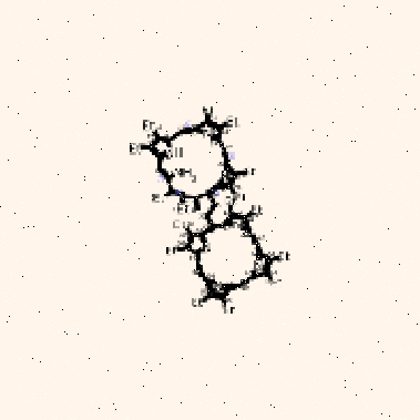 C=C1/C(CC)=C(CC)\C(N)=C\c2[nH]c(c(CC)c2CC)/C=C2N=C(/C=c3\[nH]/c(c(CC)c3CC)=C\1CCc1c3nc(cc4[nH]c(cc5nc(cc6[nH]c1c(CC)c6CC)C(CC)=C5CC)c(CC)c4CC)C(CC)=C3CC)C(CC)=C\2CC